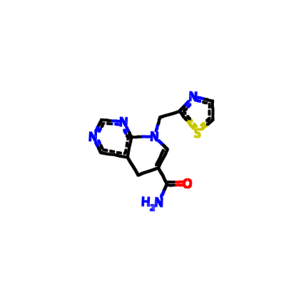 NC(=O)C1=CN(Cc2nccs2)c2ncncc2C1